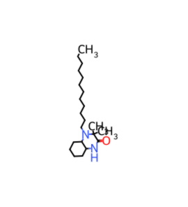 CCCCCCCCCCCCN1C2CCCCC2NC(=O)C1(C)C